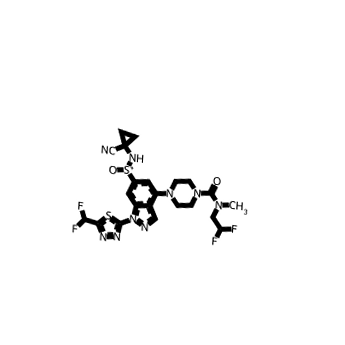 CN(CC(F)F)C(=O)N1CCN(c2cc([S+]([O-])NC3(C#N)CC3)cc3c2cnn3-c2nnc(C(F)F)s2)CC1